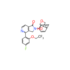 O=C1c2ccnc(-c3ccc(F)cc3OCC(F)(F)F)c2CN1C1=CC2=CC2(C2(O)COC2)C=C1